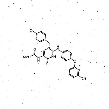 COC(=O)NC1=CN(Cc2ccc(Cl)cc2)C(Nc2ccc(Oc3cccc(C#N)n3)cc2)NC1=O